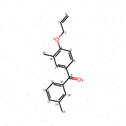 C=CCOc1ccc(C(=O)c2cccc(C)c2)cc1C